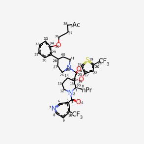 CCC[C@H]1N(C(=O)c2cnccc2C(F)(F)F)CCC[C@@]1(Oc1csc(C(F)(F)F)c1)C(=O)N1CCC(c2ccccc2OCCCC(C)=O)CC1